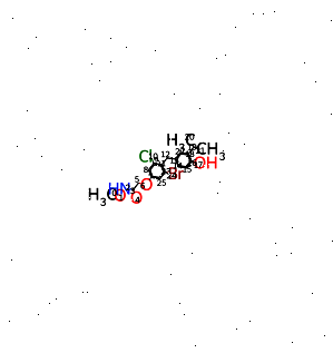 CONC(=O)COc1cc(Cl)c(Cc2ccc(O)c(C(C)C)c2)c(Br)c1